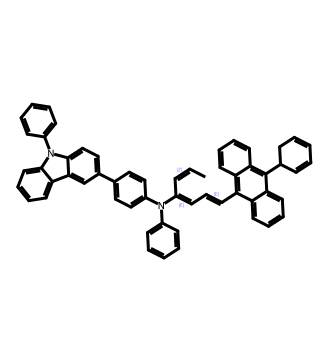 C\C=C/C(=C\C=C\c1c2ccccc2c(C2C=CC=CC2)c2ccccc12)N(c1ccccc1)c1ccc(-c2ccc3c(c2)c2ccccc2n3-c2ccccc2)cc1